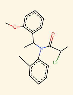 COc1ccccc1C(C)N(C(=O)C(C)Cl)c1ccccc1C